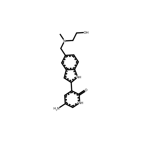 CN(CCO)Cc1ccc2[nH]c(-c3cc(N)c[nH]c3=O)cc2c1